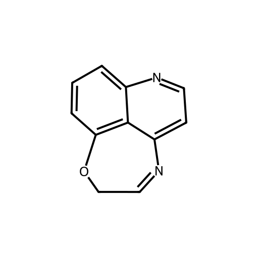 C1=Nc2ccnc3cccc(c23)OC1